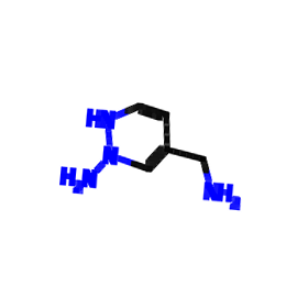 NCC1=CN(N)NC=C1